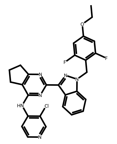 CCOc1cc(F)c(Cn2nc(-c3nc4c(c(Nc5ccncc5Cl)n3)CCC4)c3ccccc32)c(F)c1